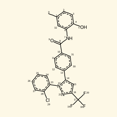 Cc1ccc(O)c(NC(=O)c2ccc(-c3cc(C(F)(F)F)nn3-c3ccccc3Cl)cc2)c1